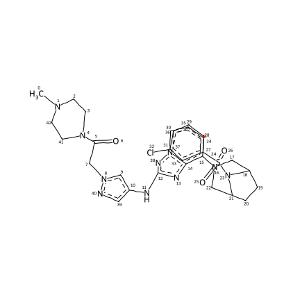 CN1CCN(C(=O)Cn2cc(Nc3nc4c(N5CC6CCC(C5)N6S(=O)(=O)c5cccc(Cl)c5)cccn4n3)cn2)CC1